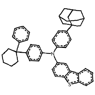 c1ccc(C2(c3ccc(N(c4ccc(C56CC7CC(CC(C7)C5)C6)cc4)c4ccc5sc6ccccc6c5c4)cc3)CCCCC2)cc1